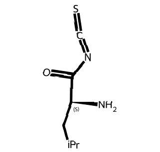 CC(C)C[C@H](N)C(=O)N=C=S